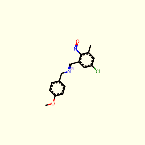 COc1ccc(C/N=C/c2cc(Cl)cc(C)c2N=O)cc1